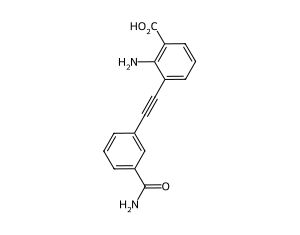 NC(=O)c1cccc(C#Cc2cccc(C(=O)O)c2N)c1